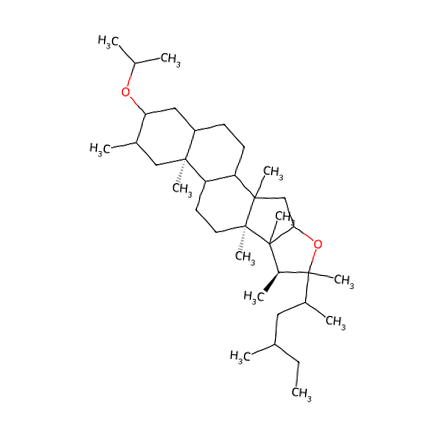 CCC(C)CC(C)C1(C)OC2CC3(C)C4CCC5CC(OC(C)C)C(C)C[C@]5(C)C4CC[C@]3(C)C2(C)[C@@H]1C